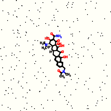 CC(=O)N(C)Cc1ccc2cc3c(c(O)c2c1)C(=O)C1=C(O)[C@]2(O)C(=O)C(C(N)=O)=C(O)[C@@H](N(C)C)[C@@H]2C[C@@H]1C3